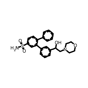 NS(=O)(=O)c1ccc(-c2ccccc2)c(-c2cccc(C(O)CN3CCOCC3)c2)c1